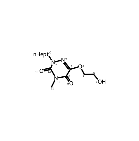 CCCCCCCn1nc(OCCO)c(=O)n(C)c1=O